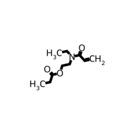 C=CC(=O)N(CC)CCOC(=O)CC